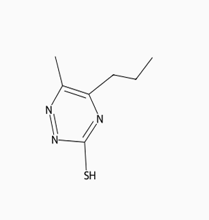 CCCc1nc(S)nnc1C